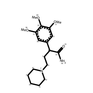 COc1cc(C(CCN2CCCCC2)C(N)=O)cc(OC)c1OC